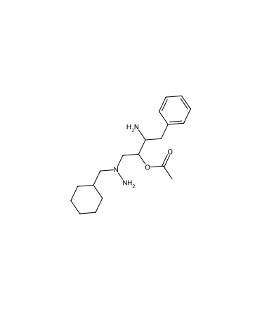 CC(=O)OC(CN(N)CC1CCCCC1)C(N)Cc1ccccc1